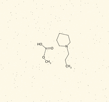 CCCN1CCCCC1.COC(=O)O